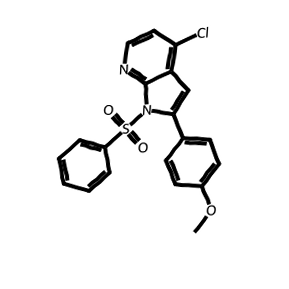 COc1ccc(-c2cc3c(Cl)ccnc3n2S(=O)(=O)c2ccccc2)cc1